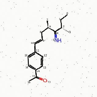 CC[C@H](C)C(=N)[C@H](C)C/C=C/c1ccc(C(C)=O)cc1